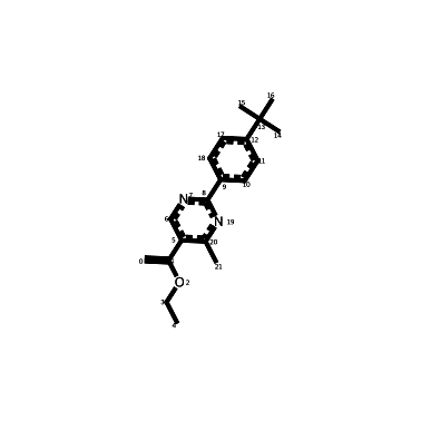 C=C(OCC)c1cnc(-c2ccc(C(C)(C)C)cc2)nc1C